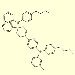 CCCCc1ccc(N(c2ccc(C3=CCC(c4ccccc4)(N(c4ccc(CCCC)cc4)c4cccc(C)c4)C=C3)cc2)c2cccc(C)c2)cc1